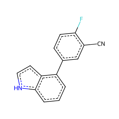 N#Cc1cc(-c2cccc3[nH]ccc23)ccc1F